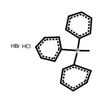 Br.C[P](c1ccccc1)(c1ccccc1)c1ccccc1.Cl